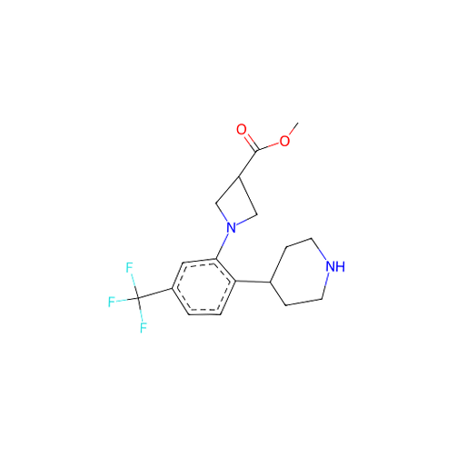 COC(=O)C1CN(c2cc(C(F)(F)F)ccc2C2CCNCC2)C1